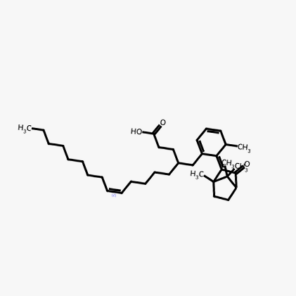 CCCCCCCC/C=C\CCCCC(CCC(=O)O)CC1=CC=CC(C)C1=C1C(=O)C2CCC1(C)C2(C)C